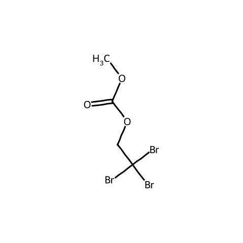 COC(=O)OCC(Br)(Br)Br